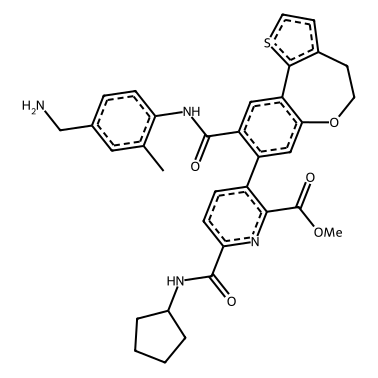 COC(=O)c1nc(C(=O)NC2CCCC2)ccc1-c1cc2c(cc1C(=O)Nc1ccc(CN)cc1C)-c1sccc1CCO2